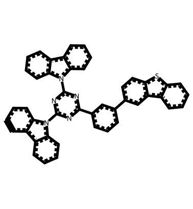 c1ccc2c(c#1)c1ccccc1n2-c1nc(-c2cccc(-c3ccc4sc5ccccc5c4c3)c2)nc(-n2c3ccccc3c3ccccc32)n1